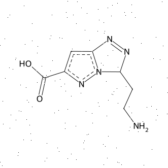 NCCC1N=Nc2cc(C(=O)O)nn21